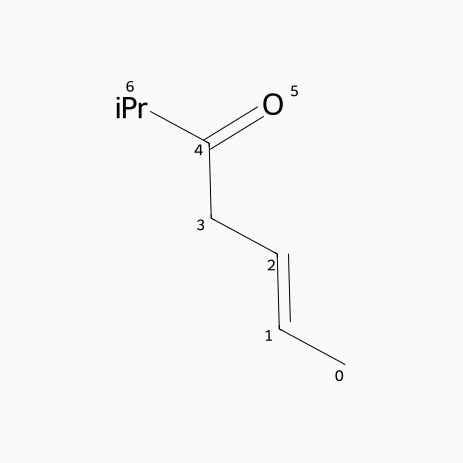 CC=CCC(=O)C(C)C